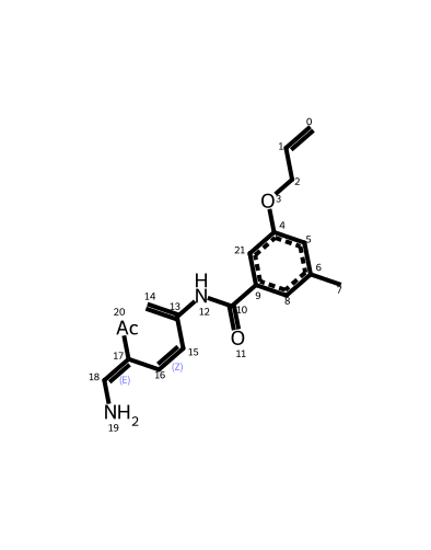 C=CCOc1cc(C)cc(C(=O)NC(=C)/C=C\C(=C/N)C(C)=O)c1